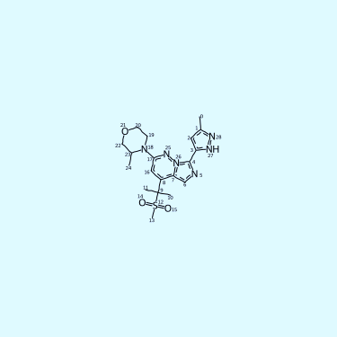 Cc1cc(-c2ncc3c(C(C)(C)S(C)(=O)=O)cc(N4CCOCC4C)nn23)[nH]n1